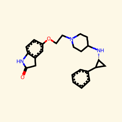 O=C1Cc2cc(OCCN3CCC(N[C@@H]4CC4c4ccccc4)CC3)ccc2N1